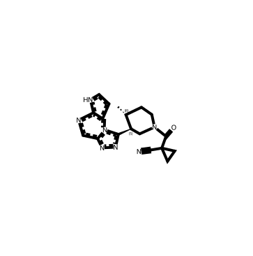 C[C@@H]1CCN(C(=O)C2(C#N)CC2)C[C@H]1c1nnc2cnc3[nH]ccc3n12